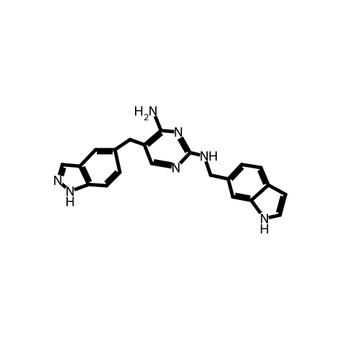 Nc1nc(NCc2ccc3cc[nH]c3c2)ncc1Cc1ccc2[nH]ncc2c1